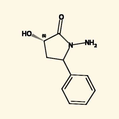 NN1C(=O)[C@@H](O)CC1c1ccccc1